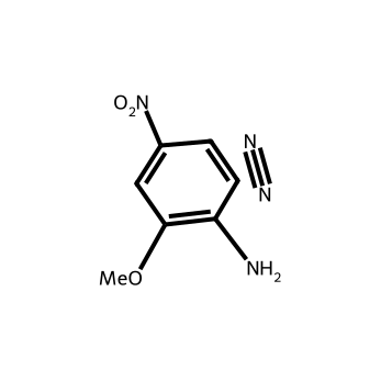 COc1cc([N+](=O)[O-])ccc1N.N#N